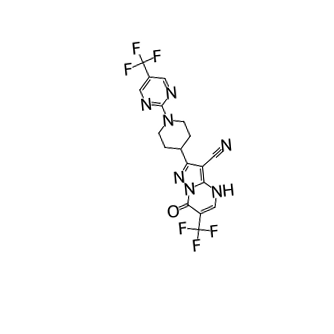 N#Cc1c(C2CCN(c3ncc(C(F)(F)F)cn3)CC2)nn2c(=O)c(C(F)(F)F)c[nH]c12